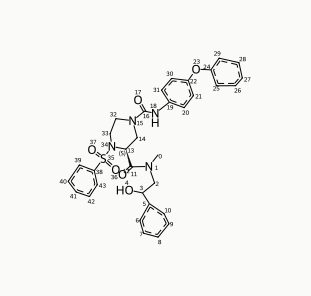 CN(CC(O)c1ccccc1)C(=O)[C@@H]1CN(C(=O)Nc2ccc(Oc3ccccc3)cc2)CCN1S(=O)(=O)c1ccccc1